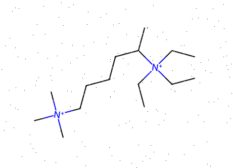 [CH2]C(CCCC[N+](C)(C)C)[N+](CC)(CC)CC